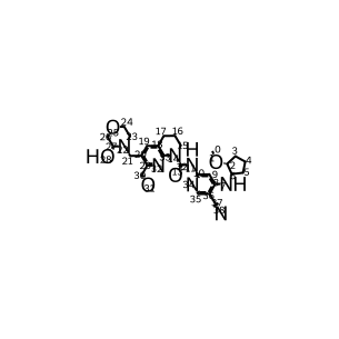 CO[C@@H]1CCC[C@H]1Nc1cc(NC(=O)N2CCCc3cc(CN4CCOCC4O)c(C=O)nc32)ncc1C#N